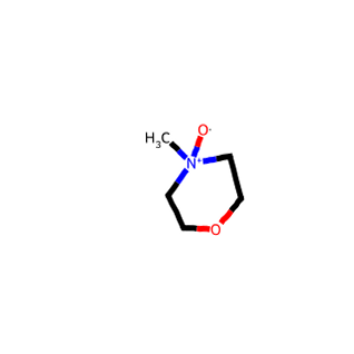 C[N+]1([O])CCOCC1